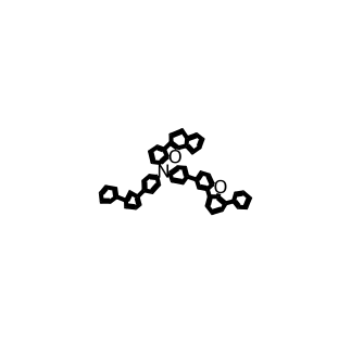 c1ccc(-c2cccc(-c3ccc(N(c4ccc(-c5ccc6oc7c(-c8ccccc8)cccc7c6c5)cc4)c4cccc5c4oc4c6ccccc6ccc54)cc3)c2)cc1